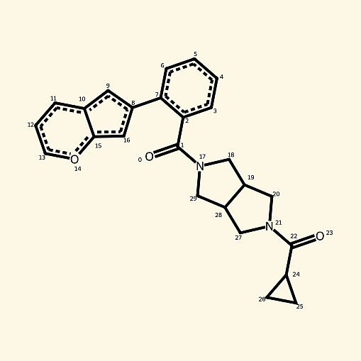 O=C(c1ccccc1-c1cc2cccoc-2c1)N1CC2CN(C(=O)C3CC3)CC2C1